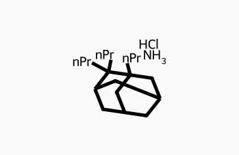 CCCC12CC3CC(CC(C3)C1(CCC)CCC)C2.Cl.N